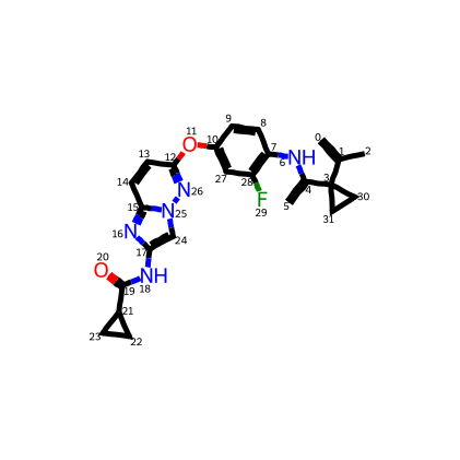 C=C(C)C1(C(=C)Nc2ccc(Oc3ccc4nc(NC(=O)C5CC5)cn4n3)cc2F)CC1